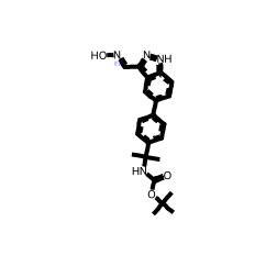 CC(C)(C)OC(=O)NC(C)(C)c1ccc(-c2ccc3[nH]nc(/C=N/O)c3c2)cc1